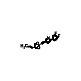 CC/C=C/[C@H]1CO[C@H](C#Cc2ccc(-c3ccc(F)c(F)c3)nc2)OC1